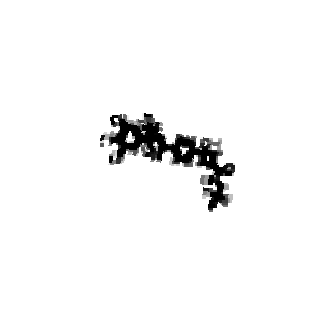 O=C(NCC(F)(F)F)C1CC(O)(c2ccc(C3=NOC(c4cc(Cl)c(Cl)c(Cl)c4)(C(F)(F)F)C3)cc2)C1